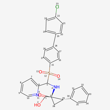 O=C(O)[C@@]1(NC(c2ccccn2)S(=O)(=O)c2ccc(-c3ccc(Cl)cc3)cc2)C[C@H]1c1ccccc1